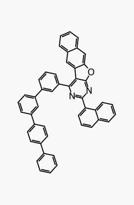 c1ccc(-c2ccc(-c3cccc(-c4cccc(-c5nc(-c6cccc7ccccc67)nc6oc7cc8ccccc8cc7c56)c4)c3)cc2)cc1